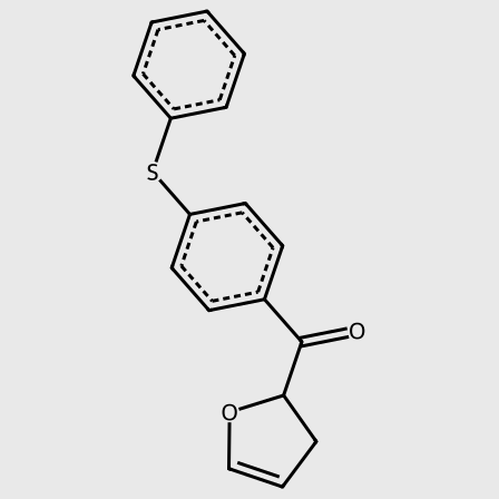 O=C(c1ccc(Sc2ccccc2)cc1)C1CC=CO1